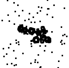 COC(=O)c1sc(-c2ccc(-c3cc4ncccn4n3)cc2)cc1N(CC1CCOCC1)C(=O)[C@H]1CC[C@H](C)CC1